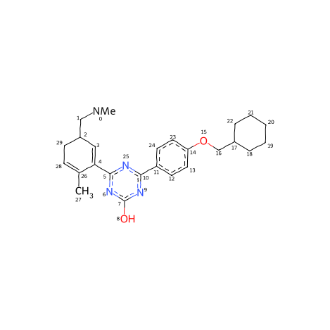 CNCC1C=C(c2nc(O)nc(-c3ccc(OCC4CCCCC4)cc3)n2)C(C)=CC1